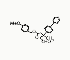 COc1ccc(COC(=O)CC(C)(OC=O)c2ccc(-c3ccccc3)cc2)cc1